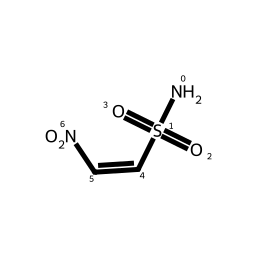 NS(=O)(=O)/C=C\[N+](=O)[O-]